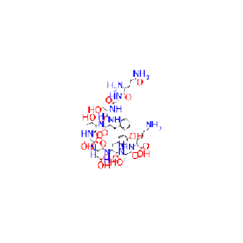 C[C@@H](O)[C@H](NC(=O)CNC(=O)[C@@H](N)CCC(N)=O)C(=O)N[C@@H](Cc1ccccc1)C(=O)N[C@H](C(=O)N[C@@H](CO)C(=O)N[C@@H](CC(=O)O)C(=O)N[C@@H](Cc1ccc(O)cc1)C(=O)N[C@@H](CO)C(=O)N[C@@H](CCCCN)C(=O)O)[C@@H](C)O